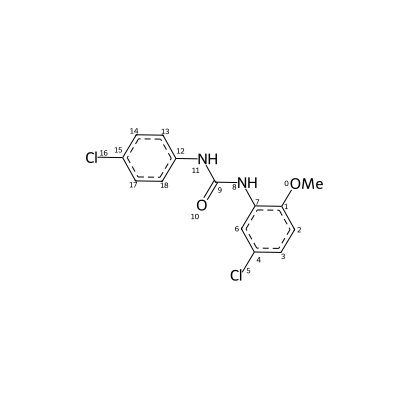 COc1ccc(Cl)cc1NC(=O)Nc1ccc(Cl)cc1